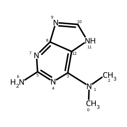 CN(C)c1nc(N)nc2nc[nH]c12